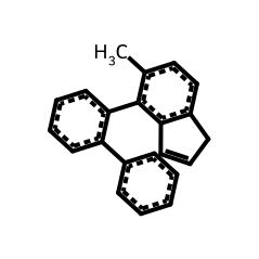 Cc1ccc2c(c1-c1ccccc1-c1ccccc1)C=CC2